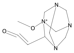 CO[N+]12CN3CN(CN(C3)C1C=C=O)C2